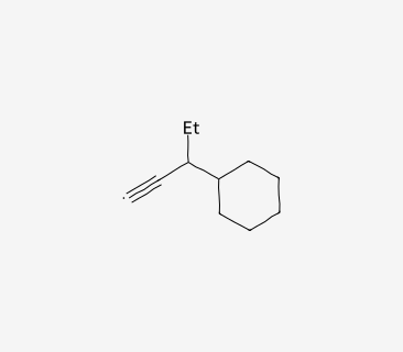 [C]#CC(CC)C1CCCCC1